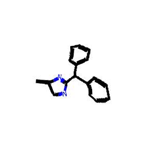 C=C1C=NC(C(c2ccccc2)c2ccccc2)=N1